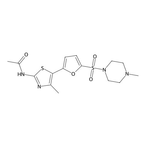 CC(=O)Nc1nc(C)c(-c2ccc(S(=O)(=O)N3CCN(C)CC3)o2)s1